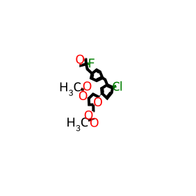 CC(=O)OCC1C[C@H](OC(C)=O)C[C@H](c2ccc(Cl)c(Cc3ccc(CC4(F)COC4)cc3)c2)O1